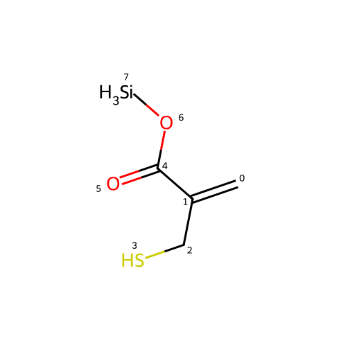 C=C(CS)C(=O)O[SiH3]